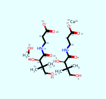 CC(C)(CO)[C@@H](O)C(=O)NCCC(=O)[O-].CC(C)(CO)[C@@H](O)C(=O)NCCC(=O)[O-].CO.[Ca+2]